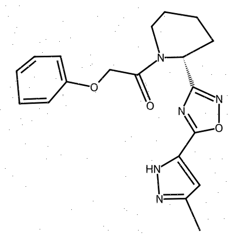 Cc1cc(-c2nc([C@H]3CCCCN3C(=O)COc3ccccc3)no2)[nH]n1